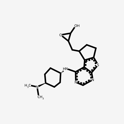 CN(C)[C@H]1CC[C@H](Nc2ncnc3sc4c(c23)C(CC2OC2O)CC4)CC1